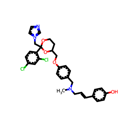 CN(CC=Cc1ccc(O)cc1)Cc1ccc(OCC2CCOC(Cn3ccnc3)(c3ccc(Cl)cc3Cl)O2)cc1